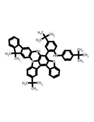 CC(C)(C)c1ccc(Nc2ccc(C(C)(C)C)cc2-c2c3c4c(c5cc(C(C)(C)C)ccc5n4-c4cc5c(cc4B3)-c3ccccc3C5(C)C)c3c2oc2ccccc23)cc1